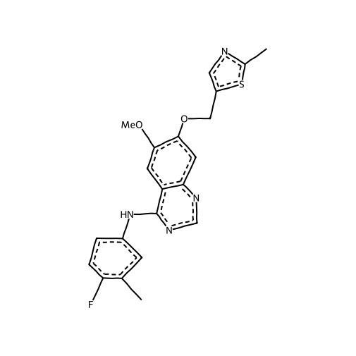 COc1cc2c(Nc3ccc(F)c(C)c3)ncnc2cc1OCc1cnc(C)s1